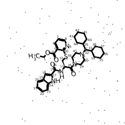 CCOC(=O)c1cccnc1SC[C@H](NC(=O)c1cc2ccccc2[nH]1)C(=O)N1CCN(C(C2CCCCC2)C2CCCCC2)CC1